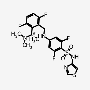 C[C@@H](c1c(F)ccc(F)c1CNc1cc(F)c(S(=O)(=O)Nc2cscn2)c(F)c1)N(C)C